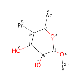 CC(=O)C1OC(OC(C)C)C(O)C(O)C1C(C)C